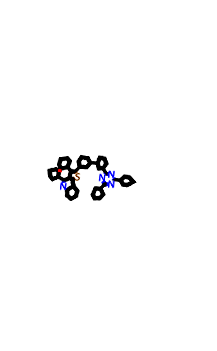 c1ccc(-c2nc(-c3ccccc3)nc(-c3cccc(-c4cccc(-c5sc6c(c(-c7ccccc7)nc7ccccc76)c5-c5ccccc5)c4)c3)n2)cc1